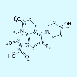 C[C@H]1CCc2c(N3CCC(O)CC3)c(F)cc3c2N1CC(=O)C3C(=O)O